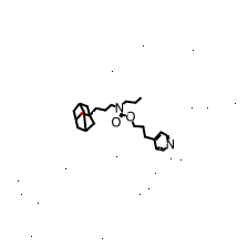 CCCN(CCCC12CC3CC(CC(C3)C1)C2)C(=O)OCCCc1ccncc1